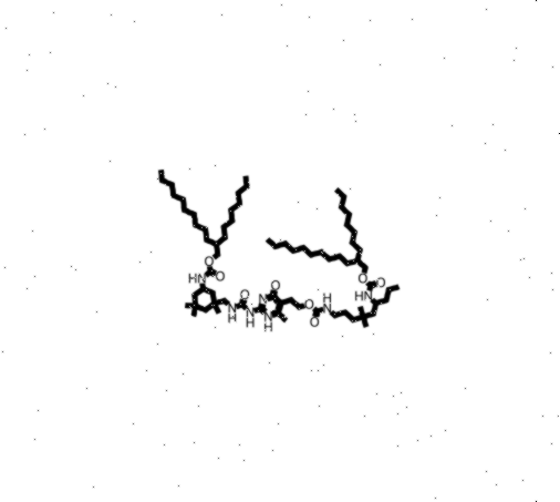 CCCCCCCCCCC(CCCCCCCC)COC(=O)NC(CCC)CC(C)(C)CCCNC(=O)OCCc1c(C)[nH]c(NC(=O)NCC2(C)CC(NC(=O)OCC(CCCCCCCC)CCCCCCCCCC)CC(C)(C)C2)nc1=O